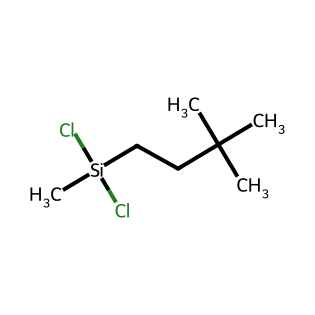 CC(C)(C)CC[Si](C)(Cl)Cl